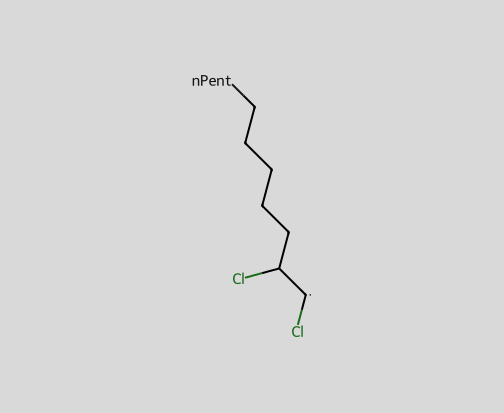 [CH2]CCCCCCCCCC(Cl)[CH]Cl